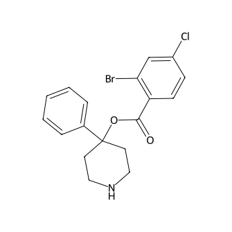 O=C(OC1(c2ccccc2)CCNCC1)c1ccc(Cl)cc1Br